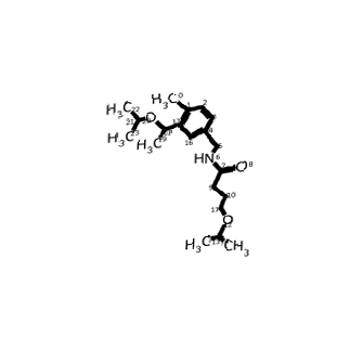 Cc1ccc(CNC(=O)CCCOC(C)C)cc1C(C)OC(C)C